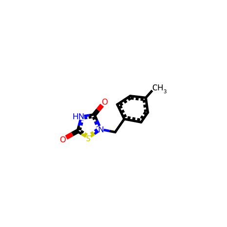 Cc1ccc(Cn2sc(=O)[nH]c2=O)cc1